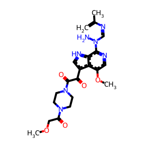 C=C(C)/N=C\N(N)c1ncc(OC)c2c(C(=O)C(=O)N3CCN(C(=O)COC)CC3)c[nH]c12